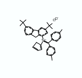 Cc1ccc([C](c2ccc(C)cc2)=[Ti+2]([C]2=CC=CC2)[c]2cc(C(C)(C)C)cc3c2Cc2ccc(C(C)(C)C)cc2-3)cc1.[Cl-].[Cl-]